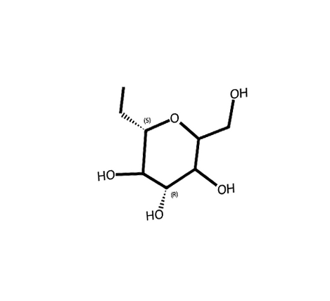 CC[C@@H]1OC(CO)C(O)[C@H](O)C1O